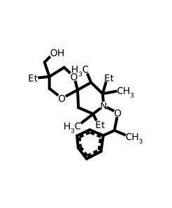 CCC1(CO)COC2(CC(C)(CC)N(OC(C)c3ccccc3)C(C)(CC)C2C)OC1